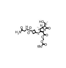 C[C@@H](O)[C@H]1C(=O)N2C(C(=O)OCOC(=O)C(C)(C)C)=C(SC3CN(S(=O)(=O)NCC(N)=O)C3)[C@H](C)[C@H]12